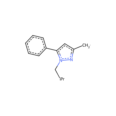 [CH2]c1cc(-c2ccccc2)n(CC(C)C)n1